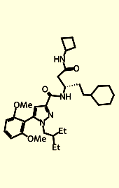 CCC(CC)Cn1nc(C(=O)N[C@@H](CCC2CCCCC2)CC(=O)NC2CCC2)cc1-c1c(OC)cccc1OC